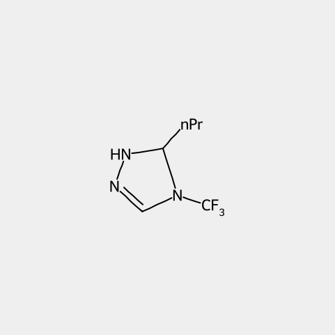 CCCC1NN=CN1C(F)(F)F